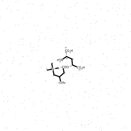 CC(=O)OC(CC(=O)[O-])C[N+](C)(C)C.N[C@@H](CCC(=O)O)C(=O)O